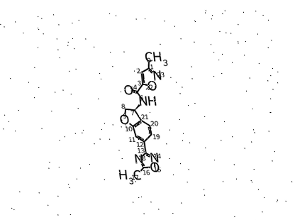 Cc1cc(C(=O)N[C@@H]2COc3cc(-c4noc(C)n4)ccc32)on1